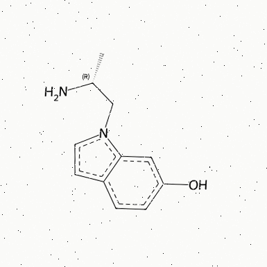 C[C@@H](N)Cn1ccc2ccc(O)cc21